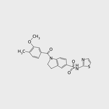 COc1cc(C(=O)N2CCc3cc(S(=O)(=O)Nc4nccs4)ccc32)ccc1C